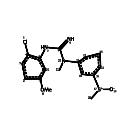 COc1ccc(Cl)c(NC(=N)N(C)c2cccc([S+](C)[O-])c2)c1